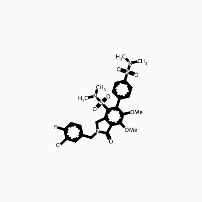 COc1c(OC)c(-c2ccc(S(=O)(=O)N(C)C)cc2)c(S(=O)(=O)N(C)C)c2c1C(=O)N(Cc1ccc(F)c(Cl)c1)C2